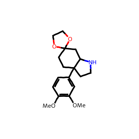 COc1ccc(C23CCNC2CC2(CC3)OCCO2)cc1OC